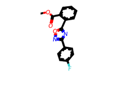 COC(=O)c1ccccc1-c1nc(-c2ccc(F)cc2)no1